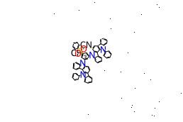 Cc1cccc(C#N)c1S(=O)(=O)c1cc(-n2c3ccccc3c3c2ccc2c4ccccc4n(-c4ccccc4)c23)cc(-n2c3ccccc3c3c2ccc2c4ccccc4n(-c4ccccc4)c23)c1